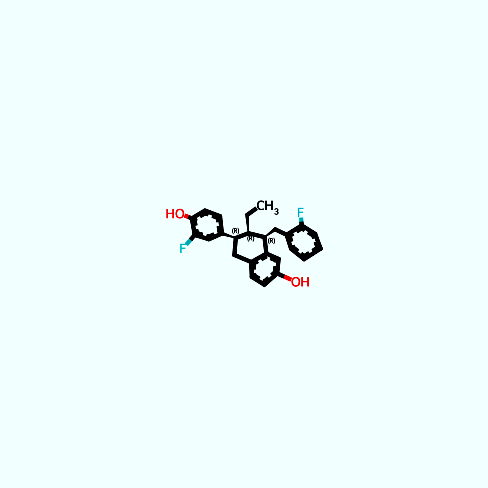 CC[C@@H]1[C@H](c2ccc(O)c(F)c2)Cc2ccc(O)cc2[C@@H]1Cc1ccccc1F